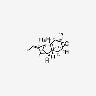 C/C=C1\C[C@H]2C[C@@H]1[C@@H]1C[C@@]3(C)O[C@H]3C[C@H]21